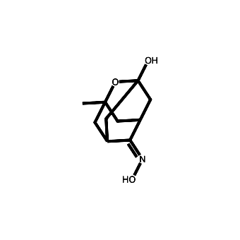 CC12CC3CC(O)(CC(C1)C3=NO)O2